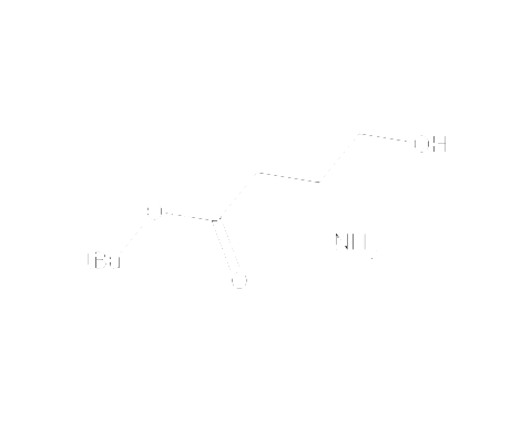 CC(C)(C)OC(=O)C[C@@H](N)CO